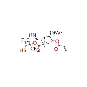 C=CC(=O)OC1C(OC)C2CC1C(C)(C(=O)OC(CS)(C(F)(F)F)C(F)(F)F)C2C=N